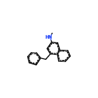 CNc1cc(Cc2ccccc2)c2ccccc2c1